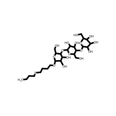 CCCCSCCCCOC1OC(CO)C(OC2OC(CO)C(OC3OC(CO)C(O)C(O)C3O)C(O)C2O)C(O)C1O